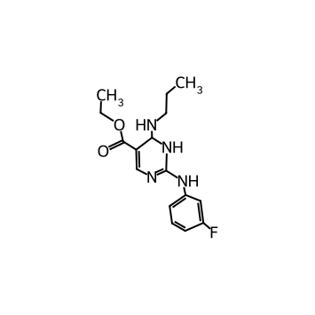 CCCNC1NC(Nc2cccc(F)c2)=NC=C1C(=O)OCC